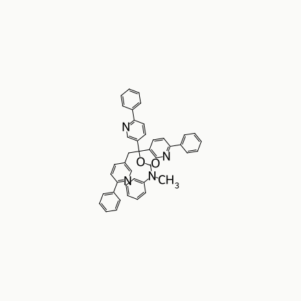 CN(C(=O)OC(Cc1ccc(-c2ccccc2)nc1)(c1ccc(-c2ccccc2)nc1)c1ccc(-c2ccccc2)nc1)c1ccccc1